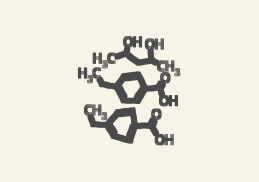 CC(O)CC(C)O.CCc1ccc(C(=O)O)cc1.CCc1ccc(C(=O)O)cc1